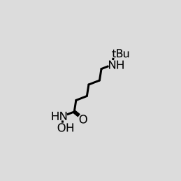 CC(C)(C)NCCCCCC(=O)NO